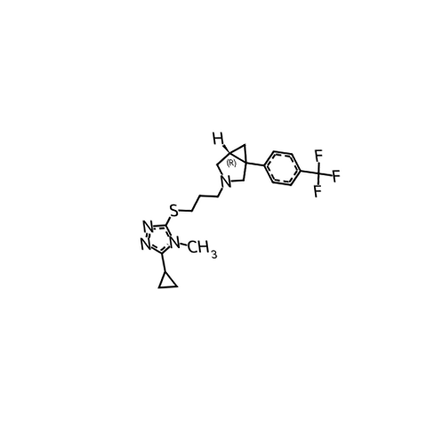 Cn1c(SCCCN2C[C@@H]3CC3(c3ccc(C(F)(F)F)cc3)C2)nnc1C1CC1